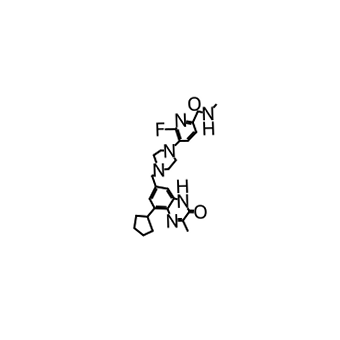 CNC(=O)c1ccc(N2CCN(Cc3cc(C4CCCC4)c4nc(C)c(=O)[nH]c4c3)CC2)c(F)n1